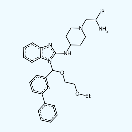 CCOCCOC(c1cccc(-c2ccccc2)n1)n1c(NC2CCN(CC(N)C(C)C)CC2)nc2ccccc21